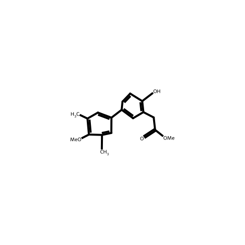 COC(=O)Cc1cc(-c2cc(C)c(OC)c(C)c2)ccc1O